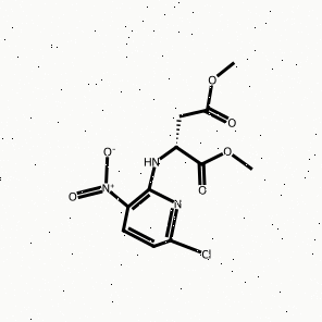 COC(=O)C[C@@H](Nc1nc(Cl)ccc1[N+](=O)[O-])C(=O)OC